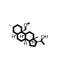 COC[C@]12CC[C@@H](C)C[C@@H]1CC[C@H]1[C@@H]3CC[C@H](C(C)O)[C@@]3(C)CC[C@@H]12